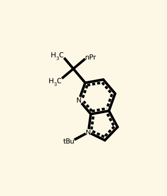 CCCC(C)(C)c1ccc2ccn(C(C)(C)C)c2n1